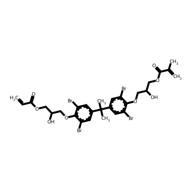 C=CC(=O)OCC(O)COc1c(Br)cc(C(C)(C)c2cc(Br)c(OCC(O)COC(=O)C(=C)C)c(Br)c2)cc1Br